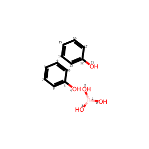 OB(O)O.Oc1ccccc1.Oc1ccccc1